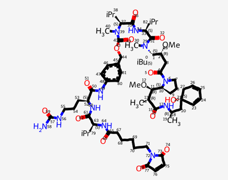 CC[C@H](C)[C@@H]([C@@H](CC(=O)N1CCC[C@H]1[C@H](OC)[C@@H](C)C(=O)N[C@H](C)C[C@]1(O)C=CC=CC1)OC)N(C)C(=O)[C@@H](NC(=O)[C@H](C(C)C)N(C)C(=O)OCc1ccc(NC(=O)[C@H](CCCNC(N)=O)NC(=O)[C@@H](NC(=O)CCCCCN2C(=O)C=CC2=O)C(C)C)cc1)C(C)C